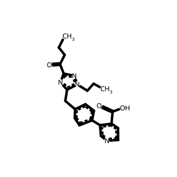 CCCC(=O)c1nc(Cc2ccc(-c3cnccc3C(=O)O)cc2)n(CCC)n1